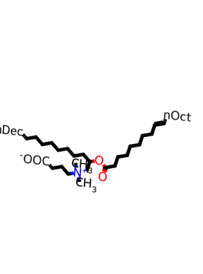 CCCCCCCCC=CCCCCCCCC(=O)OC(CCCCCCCCCCCCCCCCCC)C[N+](C)(C)CCCC(=O)[O-]